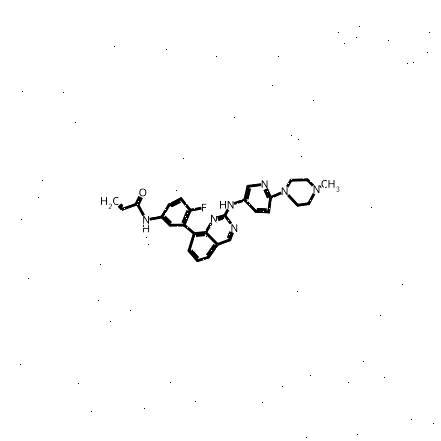 C=CC(=O)Nc1ccc(F)c(-c2cccc3cnc(Nc4ccc(N5CCN(C)CC5)nc4)nc23)c1